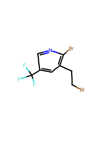 FC(F)(F)c1cnc(Br)c(CCBr)c1